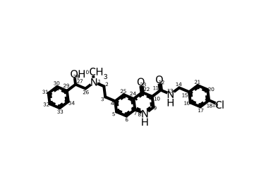 CN(CCc1ccc2[nH]cc(C(=O)NCc3ccc(Cl)cc3)c(=O)c2c1)CC(O)c1ccccc1